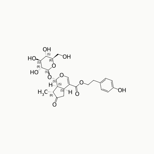 C[C@H]1C(=O)C[C@@H]2C(C(=O)OCCc3ccc(O)cc3)=CO[C@@H](O[C@@H]3O[C@H](CO)[C@@H](O)[C@H](O)[C@H]3O)[C@@H]21